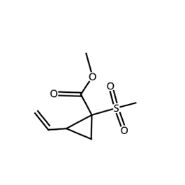 C=CC1CC1(C(=O)OC)S(C)(=O)=O